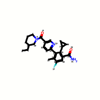 CCC1CCCN(C(=O)c2ccc(-c3c(C)c(F)cc(C(N)=O)c3C3CC3)nc2)C1